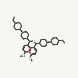 CCC1CCC(C2CCC(C(OC(c3ccc(OC)cc3)C3CCC(C4CCC(CC)CC4)CC3)c3ccc(OC)cc3)CC2)CC1